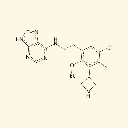 CCOc1c(CCNc2ncnc3[nH]cnc23)cc(Cl)c(C)c1C1CNC1